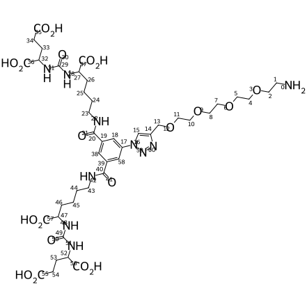 NCCOCCOCCOCCOCc1cn(-c2cc(C(=O)NCCCCC(NC(=O)NC(CCC(=O)O)C(=O)O)C(=O)O)cc(C(=O)NCCCCC(NC(=O)NC(CCC(=O)O)C(=O)O)C(=O)O)c2)nn1